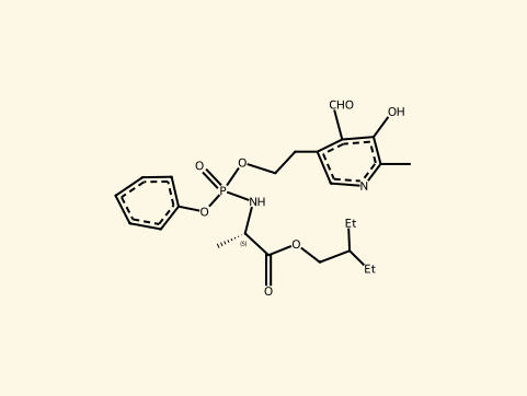 CCC(CC)COC(=O)[C@H](C)NP(=O)(OCCc1cnc(C)c(O)c1C=O)Oc1ccccc1